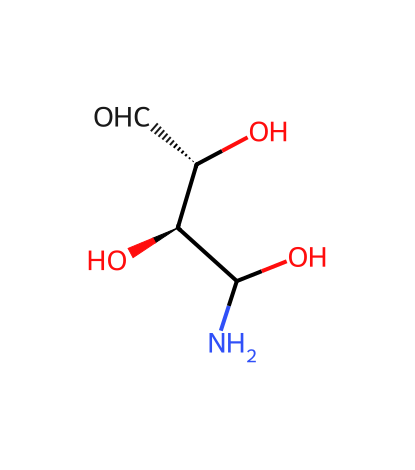 NC(O)[C@@H](O)[C@@H](O)C=O